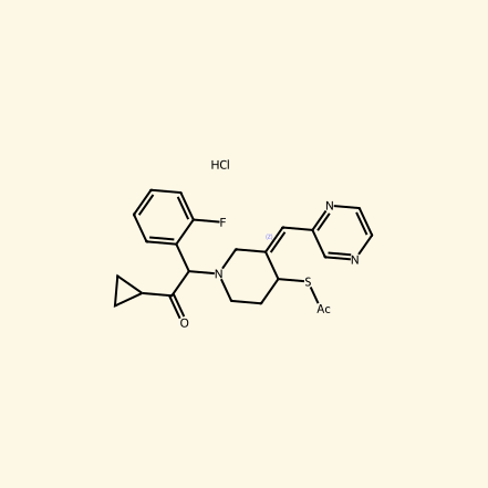 CC(=O)SC1CCN(C(C(=O)C2CC2)c2ccccc2F)C/C1=C/c1cnccn1.Cl